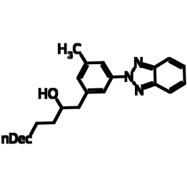 CCCCCCCCCCCCC(O)Cc1cc(C)cc(-n2nc3ccccc3n2)c1